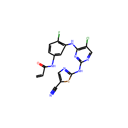 C=CC(=O)Nc1ccc(F)c(Nc2nc(Nc3ncc(C#N)s3)ncc2Cl)c1